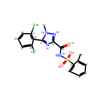 Cc1ccccc1S(=O)(=O)NC(=O)c1nc(-c2c(F)cccc2F)n(C)n1